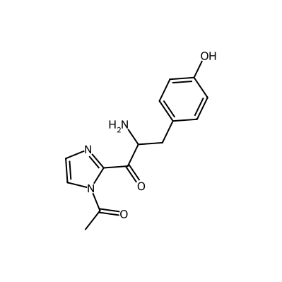 CC(=O)n1ccnc1C(=O)C(N)Cc1ccc(O)cc1